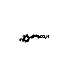 O=C(O)/C=C/C#Cc1ccc(F)cc1